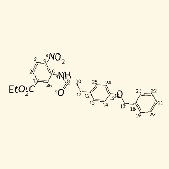 CCOC(=O)c1ccc([N+](=O)[O-])c(NC(=O)CCc2ccc(OCc3ccccc3)cc2)c1